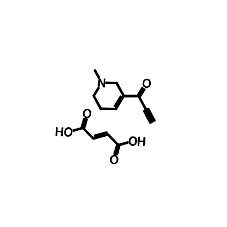 C#CC(=O)C1=CCCN(C)C1.O=C(O)C=CC(=O)O